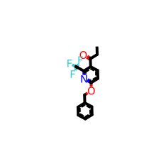 CCC(=O)c1ccc(OCc2ccccc2)nc1C(F)(F)F